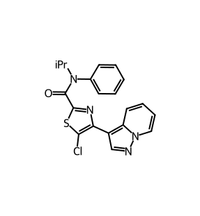 CC(C)N(C(=O)c1nc(-c2cnn3ccccc23)c(Cl)s1)c1ccccc1